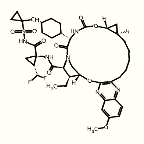 CC[C@@H]1[C@@H]2CN(C(=O)[C@H](C3CCCCC3)NC(=O)O[C@@H]3C[C@H]3CCCCCc3nc4ccc(OC)cc4nc3O2)[C@@H]1C(=O)N[C@]1(C(=O)NS(=O)(=O)C2(C)CC2)C[C@H]1C(F)F